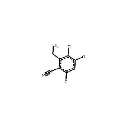 CCc1c(Cl)c(Cl)cc(Cl)c1C#N